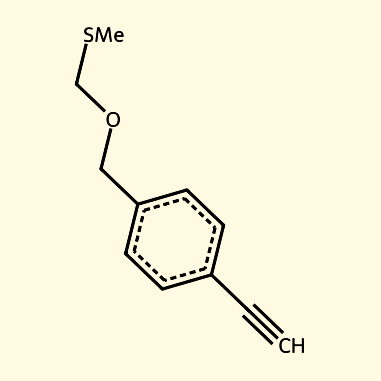 C#Cc1ccc(COCSC)cc1